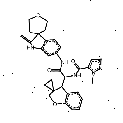 C=C1Nc2cc(NC(=O)[C@@H](NC(=O)c3ccnn3C)C3c4ccccc4OCC34CC4)ccc2C12CCOCC2